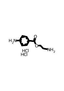 Cl.Cl.NCCOC(=O)c1ccc(N)cc1